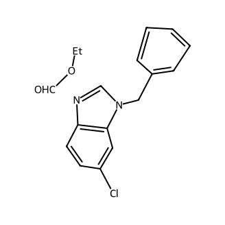 CCOC=O.Clc1ccc2ncn(Cc3ccccc3)c2c1